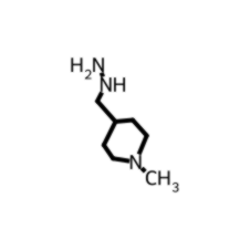 CN1CCC(CNN)CC1